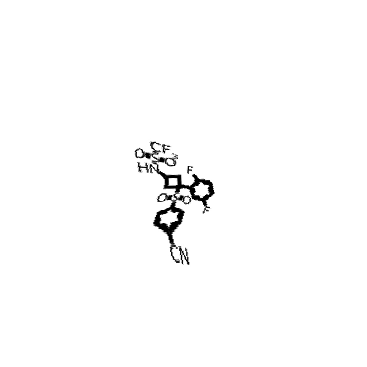 N#Cc1ccc(S(=O)(=O)C2(c3cc(F)ccc3F)CC(NS(=O)(=O)C(F)(F)F)C2)cc1